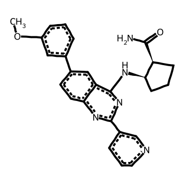 COc1cccc(-c2ccc3nc(-c4cccnc4)nc(N[C@@H]4CCC[C@@H]4C(N)=O)c3c2)c1